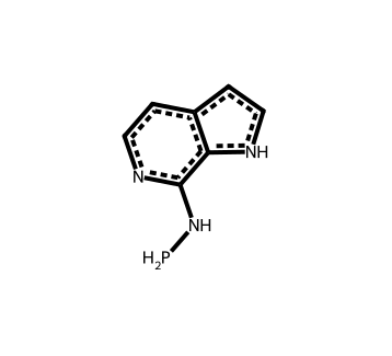 PNc1nccc2cc[nH]c12